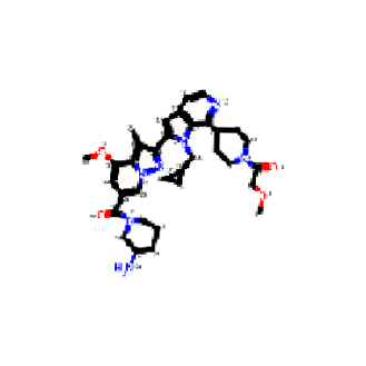 COCC(=O)N1CCC(c2nccc3cc(-c4nn5cc(C(=O)N6CCC[C@@H](N)C6)cc(OC)c5c4C)n(CC4CC4)c23)CC1